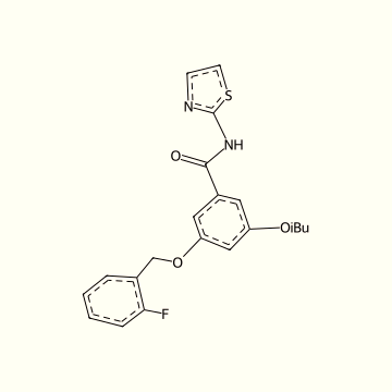 CC(C)COc1cc(OCc2ccccc2F)cc(C(=O)Nc2nccs2)c1